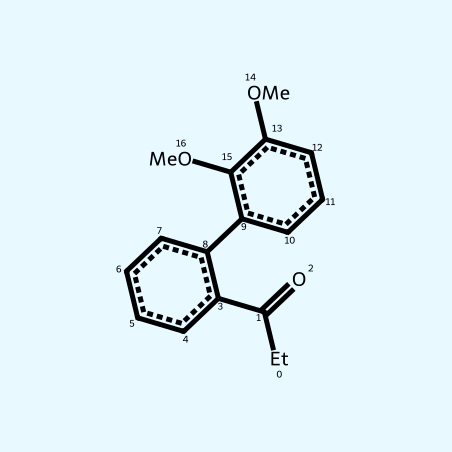 CCC(=O)c1ccccc1-c1cccc(OC)c1OC